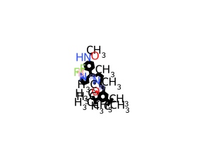 COc1c(/C=C/C2(C)C=C(C)/C(=C(\c3ccc(NC(C)=O)cc3)c3cccn3B(F)F)N2C)cc(C(C)(C)C)cc1C(C)(C)C